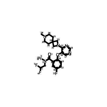 CC(C)N(CC(F)F)C(=O)c1cc(F)ccc1Oc1cncnc1N1CC2(CCN(C)CC2)C1